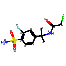 CC(C)(NC(=O)CCl)c1ccc(S(N)(=O)=O)c(F)c1